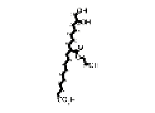 O=C(O)CCCCCCCCCC(CCCCCC(O)CO)C(=O)OCCO